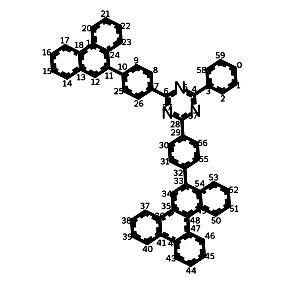 c1ccc(-c2nc(-c3ccc(-c4cc5ccccc5c5ccccc45)cc3)nc(-c3ccc(-c4cc5c6ccccc6c6ccccc6c5c5ccccc45)cc3)n2)cc1